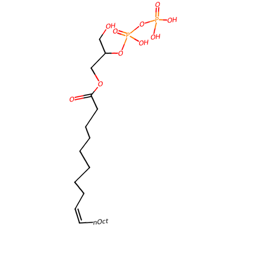 CCCCCCCC/C=C\CCCCCCCC(=O)OCC(CO)OP(=O)(O)OP(=O)(O)O